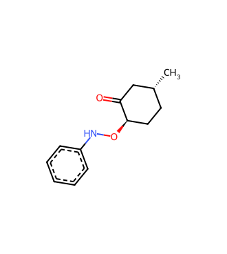 C[C@@H]1CC[C@@H](ONc2ccccc2)C(=O)C1